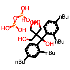 CCCCc1ccc(C(O)(c2ccc(CCCC)cc2CCCC)C(CO)(CO)CO)c(CCCC)c1.OP(O)OP(O)O